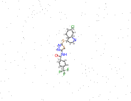 O=C(Nc1nnc(Sc2ccnc3cc(Cl)ccc23)s1)c1ccc(C(F)(F)F)cc1